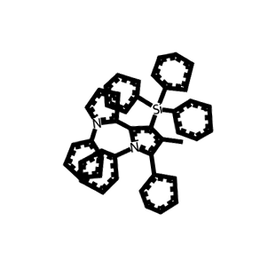 Cc1c([Si](c2ccccc2)(c2ccccc2)c2ccccc2)c(-c2cccn2-c2ccccc2)n(-c2ccccc2)c1-c1ccccc1